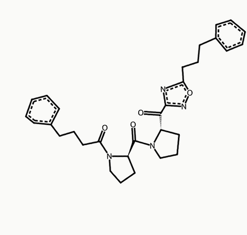 O=C(c1noc(CCCc2ccccc2)n1)[C@@H]1CCCN1C(=O)[C@H]1CCCN1C(=O)CCCc1ccccc1